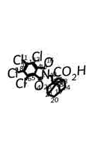 O=C(O)[C@@H](N1C(=O)c2c(Cl)c(Cl)c(Cl)c(Cl)c2C1=O)C12CC3CC(CC(C3)C1)C2